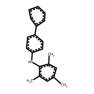 Cc1cc(C)c(Nc2ccc(-c3ccccc3)cc2)c(C)c1